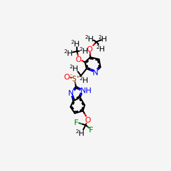 [2H]C([2H])([2H])Oc1ccnc(C([2H])([2H])[S+]([O-])c2nc3ccc(OC([2H])(F)F)cc3[nH]2)c1OC([2H])([2H])[2H]